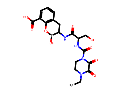 CCN1CCN(C(=O)NC(CO)C(=O)NC2Cc3cccc(C(=O)O)c3OB2O)C(=O)C1=O